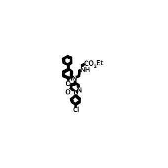 CCOC(=O)CNCCNc1cnn(-c2ccc(Cl)cc2)c(=O)c1Oc1ccc(-c2ccccc2)cc1